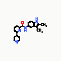 Cc1[nH]c2ccc(NC(=O)c3cccc(-c4ccncc4)n3)cc2c1C